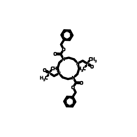 CP(C)(=O)CN1CCN(C(=O)OCc2ccccc2)CCN(CP(C)(C)=O)CCN(C(=O)OCc2ccccc2)CC1